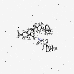 COC(=O)CC/C(C)=C/COc1ccc(C2CC2)cc1CN(C)C(=O)c1ccc(-c2ccco2)cc1